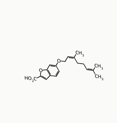 CC(C)=CCCC(C)=CCOc1ccc2cc(C(=O)O)oc2c1